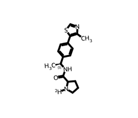 [2H]N1CCCC1C(=O)N[C@@H](C)c1ccc(-c2scnc2C)cc1